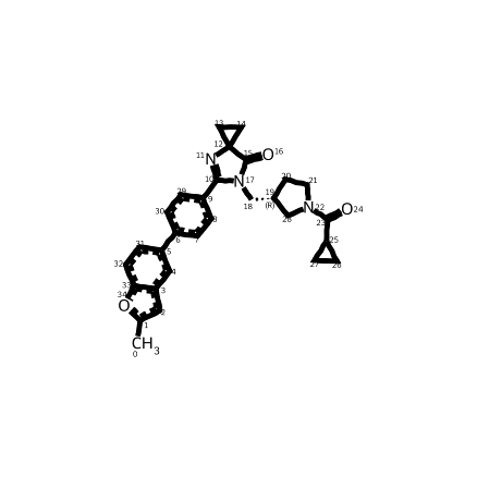 Cc1cc2cc(-c3ccc(C4=NC5(CC5)C(=O)N4C[C@@H]4CCN(C(=O)C5CC5)C4)cc3)ccc2o1